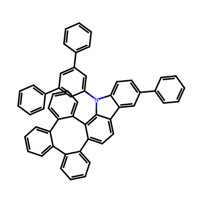 c1ccc(-c2cc(-c3ccccc3)cc(-n3c4ccc(-c5ccccc5)cc4c4ccc5c(c43)-c3ccccc3-c3ccccc3-c3ccccc3-5)c2)cc1